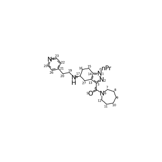 CCCn1nc(C(=O)N2CCCCCC2)c2c1CCC(NCCc1ccncc1)C2